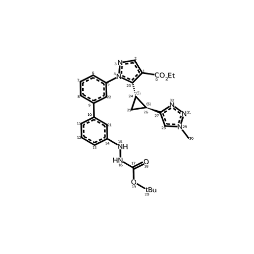 CCOC(=O)c1cnn(-c2cccc(-c3cccc(NNC(=O)OC(C)(C)C)c3)c2)c1[C@H]1C[C@@H]1c1cn(C)nn1